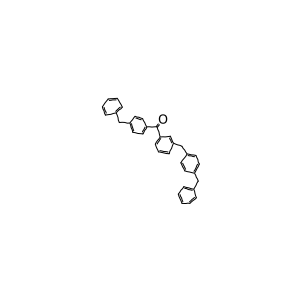 O=C(c1ccc(Cc2ccccc2)cc1)c1cccc(Cc2ccc(Cc3ccccc3)cc2)c1